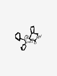 O=C1NCc2ccccc2C[C@H]1N[C@H](c1ccccc1)[C@@H](O)c1ccccc1